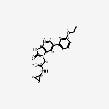 CCOc1cccc(-c2cnc3[nH]c(=O)n(CC(=O)NC4CC4)c3c2)c1